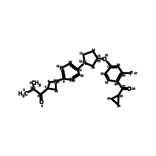 CN(C)C(=O)C1CN(c2ncc(N3CC[C@@H](Oc4ccc(C(=O)C5CC5)c(F)c4)C3)cn2)C1